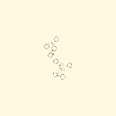 c1ccc(-c2nc(-c3ccc(-c4cccc5c4oc4ccc6c(-c7ccccc7)nc7ccccc7c6c45)cc3)cc(-n3c4ccccc4c4ccccc43)n2)cc1